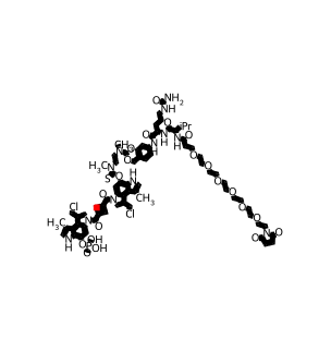 Cc1c[nH]c2c(OC(=S)N(C)CCN(C)C(=O)OCc3ccc(NC(=O)C(CCCNC(N)=O)NC(=O)C(NC(=O)CCOCCOCCOCCOCCOCCOCCN4C(=O)C=CC4=O)C(C)C)cc3)cc3c(c12)C(CCl)CN3C(=O)C12CC(C(=O)N3CC(CCl)c4c3cc(OP(=O)(O)O)c3[nH]cc(C)c43)(C1)C2